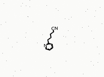 N#CCCCCc1ccccn1